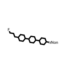 CCCCCCCCCC1CCC(C2CCC(C3CCC(CCCF)CC3)CC2)CC1